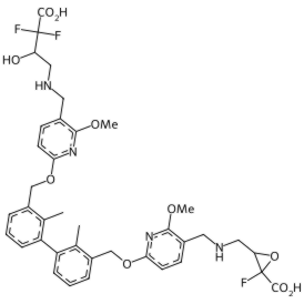 COc1nc(OCc2cccc(-c3cccc(COc4ccc(CNCC5OC5(F)C(=O)O)c(OC)n4)c3C)c2C)ccc1CNCC(O)C(F)(F)C(=O)O